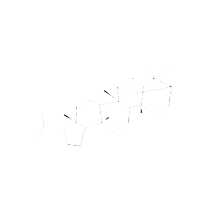 CC(C)[C@H]1CC[C@]2(C)[C@H]3CC[C@@H]4[C@@]5(C)CCC6OC(C[C@H]5C6(C)C)[C@@]4(C)[C@]3(C)CC[C@@H]12